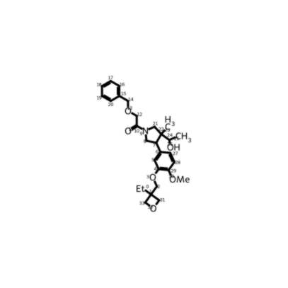 CCC1(COc2cc(C3CN(C(=O)COCc4ccccc4)CC3(C)C(C)O)ccc2OC)COC1